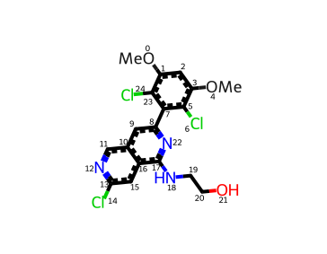 COc1cc(OC)c(Cl)c(-c2cc3cnc(Cl)cc3c(NCCO)n2)c1Cl